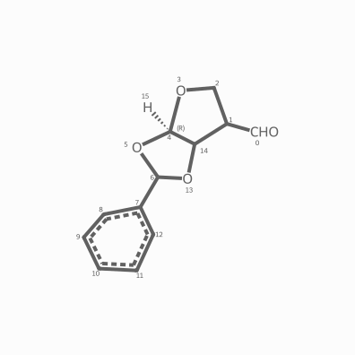 O=CC1CO[C@@H]2OC(c3ccccc3)OC12